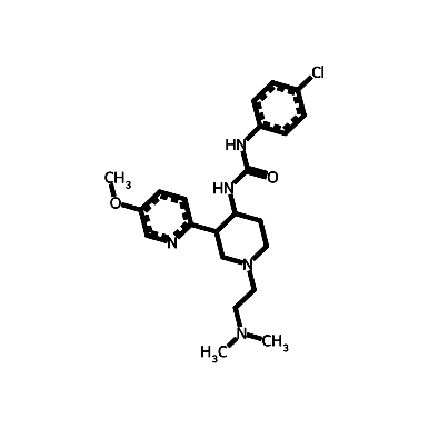 COc1ccc(C2CN(CCN(C)C)CCC2NC(=O)Nc2ccc(Cl)cc2)nc1